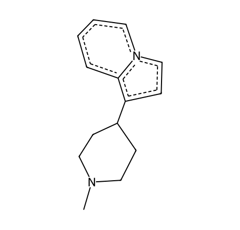 CN1CCC(c2ccn3ccccc23)CC1